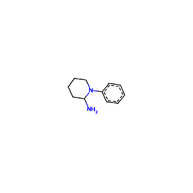 NC1CCCCN1c1ccccc1